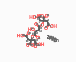 O=C(O)CC(CC(=O)O)(OC(=O)CC(O)C(=O)OC(CC(=O)O)(CC(=O)O)C(=O)O)C(=O)O.[Zn].[Zn].[Zn].[Zn]